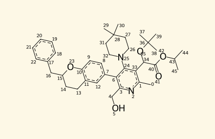 Cc1nc(CO)c(-c2ccc3c(c2)CCC(Cc2ccccc2)O3)c(N2CCC(C)(C)CC2)c1C(OC(C)(C)C)C(=O)OC(C)C